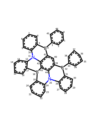 c1ccc(B2c3ccccc3N3c4ccccc4B4c5ccccc5N5c6ccccc6B(c6ccccc6)c6cc2c3c4c65)cc1